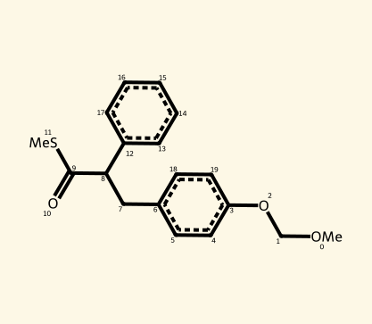 COCOc1ccc(CC(C(=O)SC)c2ccccc2)cc1